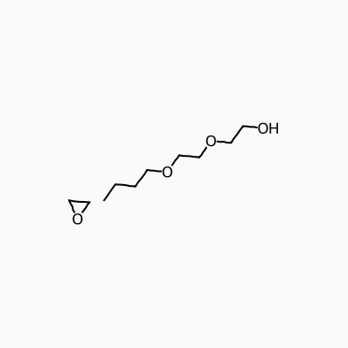 C1CO1.CCCCOCCOCCO